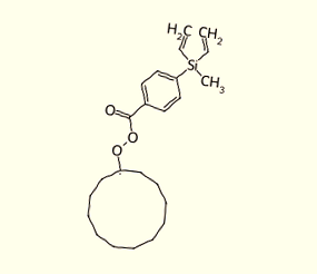 C=C[Si](C)(C=C)c1ccc(C(=O)OO[C]2CCCCCCCCCCC2)cc1